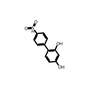 O=[SH](=O)c1ccc(-c2ccc(O)cc2O)cc1